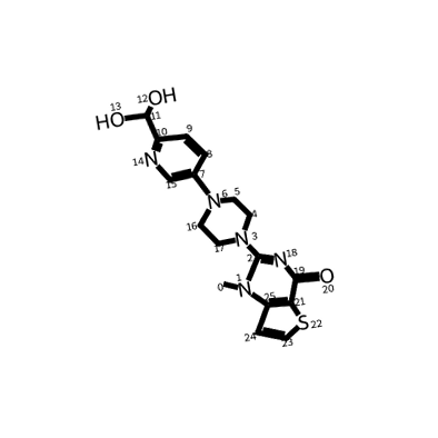 Cn1c(N2CCN(c3ccc(C(O)O)nc3)CC2)nc(=O)c2sccc21